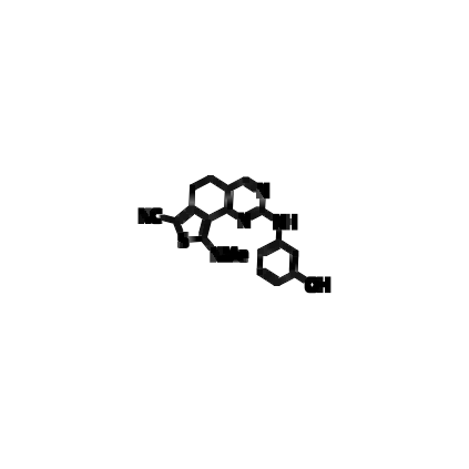 CNc1sc(C#N)c2c1-c1nc(Nc3cccc(O)c3)ncc1CC2